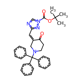 CC(C)(C)OC(=O)n1cnc(/C=C2/CN(C(c3ccccc3)(c3ccccc3)c3ccccc3)CCC2=O)n1